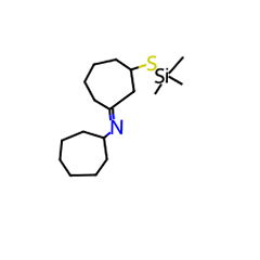 C[Si](C)(C)SC1CCCCC(=NC2CCCCCC2)C1